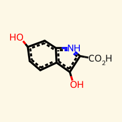 O=C(O)c1[nH]c2cc(O)ccc2c1O